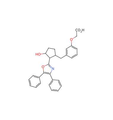 O=C(O)COc1cccc(CC2CCC(O)C2c2nc(-c3ccccc3)c(-c3ccccc3)o2)c1